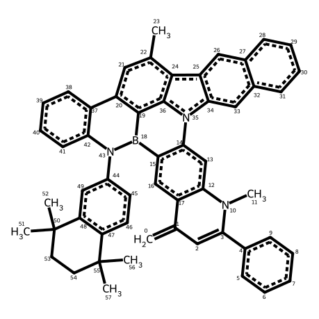 C=C1C=C(c2ccccc2)N(C)c2cc3c(cc21)B1c2c(cc(C)c4c5cc6ccccc6cc5n-3c24)-c2ccccc2N1c1ccc2c(c1)C(C)(C)CCC2(C)C